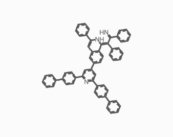 N=C(/C(=C1\NC(c2ccccc2)=Cc2cc(-c3cc(-c4ccc(-c5ccccc5)cc4)nc(-c4ccc(-c5ccccc5)cc4)c3)ccc21)c1ccccc1)c1ccccc1